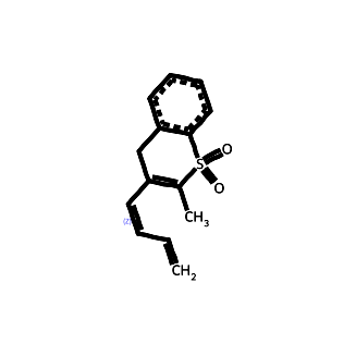 C=C/C=C\C1=C(C)S(=O)(=O)c2ccccc2C1